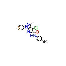 Cc1nn(C2CCSCC2)c2ncc(C(=O)Nc3ccc(C(C)C)cc3)c(Cl)c12